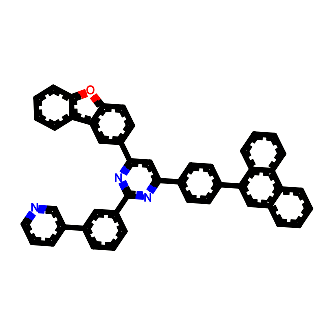 c1cncc(-c2cccc(-c3nc(-c4ccc(-c5cc6ccccc6c6ccccc56)cc4)cc(-c4ccc5oc6ccccc6c5c4)n3)c2)c1